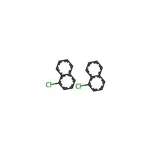 Clc1cccc2ccccc12.Clc1cccc2ccccc12